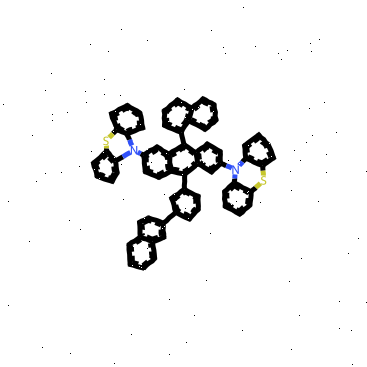 c1cc(-c2ccc3ccccc3c2)cc(-c2c3cc(N4c5ccccc5Sc5ccccc54)ccc3c(-c3cccc4ccccc34)c3cc(N4c5ccccc5Sc5ccccc54)ccc23)c1